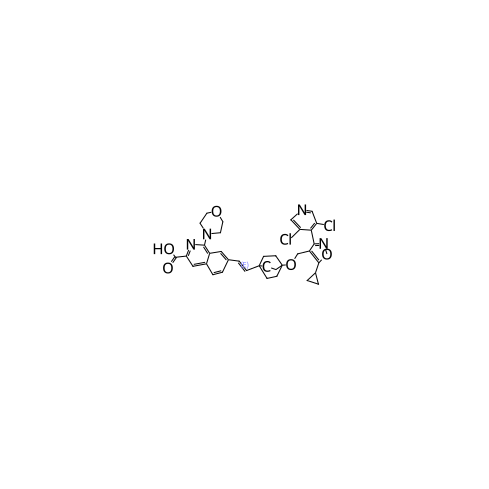 O=C(O)c1cc2ccc(/C=C/C34CCC(OCc5c(-c6c(Cl)cncc6Cl)noc5C5CC5)(CC3)CC4)cc2c(N2CCOCC2)n1